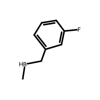 CBCc1cccc(F)c1